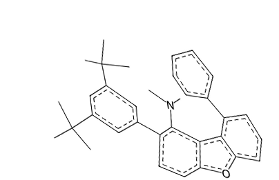 CN(C)c1c(-c2cc(C(C)(C)C)cc(C(C)(C)C)c2)ccc2oc3cccc(-c4ccccc4)c3c12